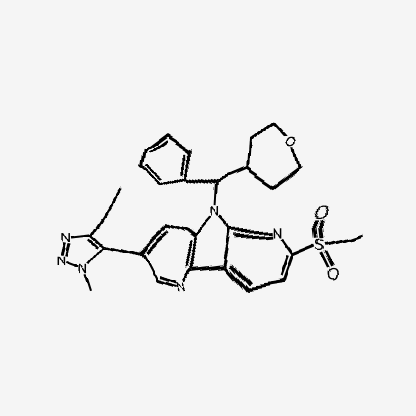 Cc1nnn(C)c1-c1cnc2c3ccc(S(C)(=O)=O)nc3n(C(c3ccccc3)C3CCOCC3)c2c1